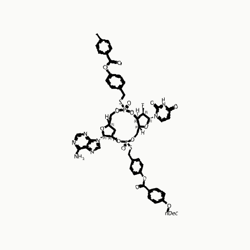 CCCCCCCCCCOc1ccc(C(=O)Oc2ccc(CSP3(=O)OC[C@H]4O[C@@H](n5ccc(=O)[nH]c5=O)[C@H](F)[C@@H]4OP(=O)(SCc4ccc(OC(=O)c5ccc(C)cc5)cc4)OC[C@@H]4C[C@@H](O3)[C@H](n3cnc5c(N)ncnc53)O4)cc2)cc1